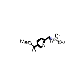 COC(=O)c1ccc(/C=N/[S+]([O-])C(C)(C)C)nc1